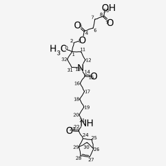 CC1(COC(=O)CCC(=O)O)CCN(C(=O)CCCCCNC(=O)C2CC3C=CC2C3)CC1